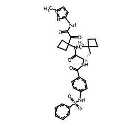 Cn1ccc(NC(=O)C(=O)C2(NC(=O)[C@H](CC3(C)CCC3)NC(=O)c3ccc(NS(=O)(=O)c4ccccc4)cc3)CCC2)n1